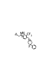 FC(F)(F)c1c(CN2CCC(F)(c3ccccc3)CC2)ccn2c(CC3CC3)nnc12